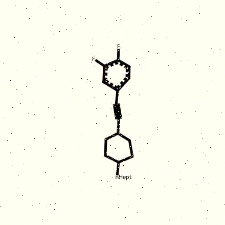 CCCCCCCC1CCC(C#Cc2ccc(F)c(F)c2)CC1